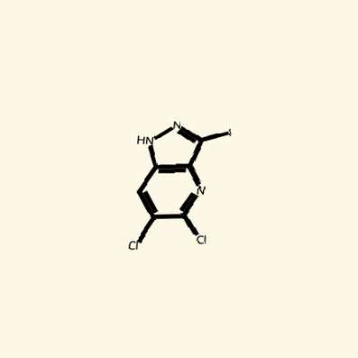 Clc1cc2[nH]nc(I)c2nc1Cl